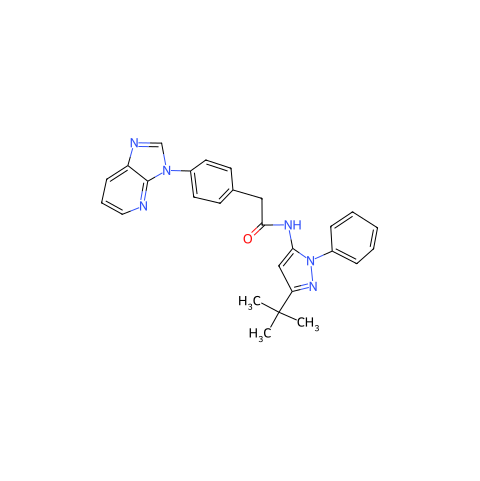 CC(C)(C)c1cc(NC(=O)Cc2ccc(-n3cnc4cccnc43)cc2)n(-c2ccccc2)n1